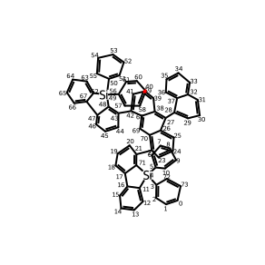 c1ccc([Si]2(c3ccccc3)c3ccccc3-c3cccc(-c4cccc5c(-c6cccc7ccccc67)c6cccc(-c7cccc8c7[Si](c7ccccc7)(c7ccccc7)c7ccccc7-8)c6cc45)c32)cc1